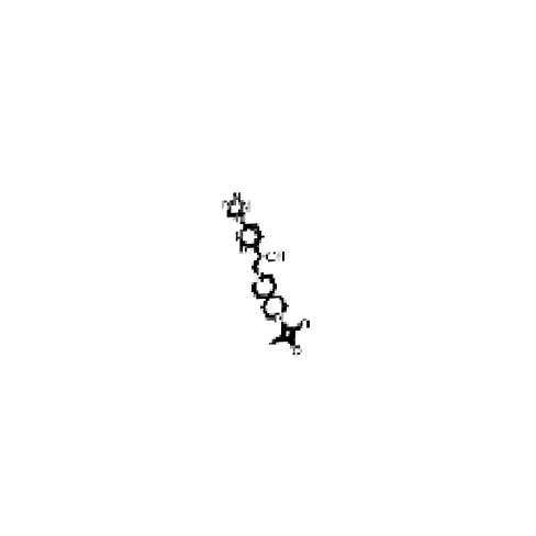 Cc1c(N2CCC3(CCN(C[C@@H](O)c4ccc(-n5cnnn5)nn4)CC3)CC2)c(=O)c1=O